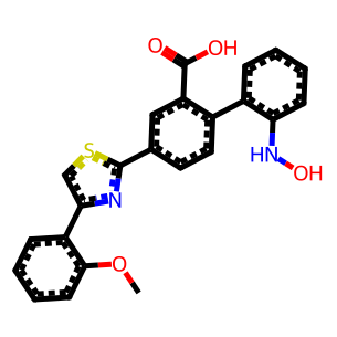 COc1ccccc1-c1csc(-c2ccc(-c3ccccc3NO)c(C(=O)O)c2)n1